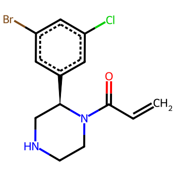 C=CC(=O)N1CCNC[C@H]1c1cc(Cl)cc(Br)c1